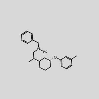 CC(=O)N(Cc1ccccc1)CC(C)C1CCC[C@@H](Oc2cccc(C)c2)C1